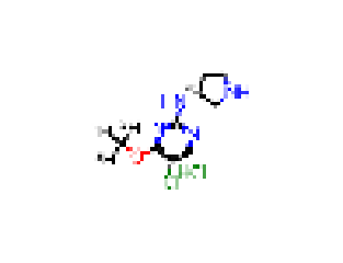 Cl.[2H]C([2H])([2H])Oc1nc(N[C@@H]2CCNC2)ncc1Cl